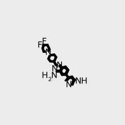 CNc1cncc(-c2ccc3nc(C4CCC(N5CCC(F)(F)CC5)CC4)nc(N)c3c2)c1